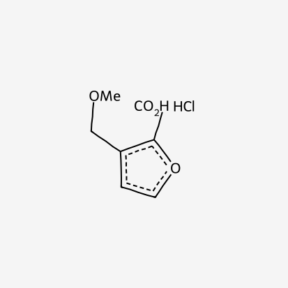 COCc1ccoc1C(=O)O.Cl